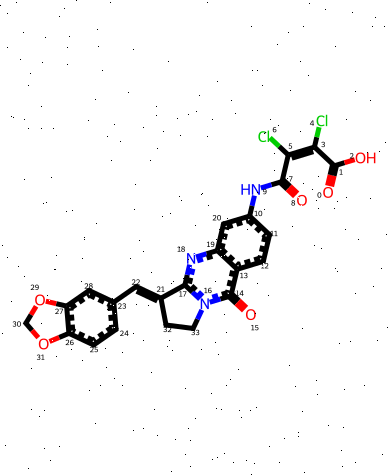 O=C(O)/C(Cl)=C(/Cl)C(=O)Nc1ccc2c(=O)n3c(nc2c1)C(=Cc1ccc2c(c1)OCO2)CC3